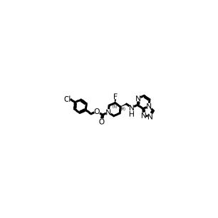 O=C(OCc1ccc(Cl)cc1)N1CC[C@H](CNc2nccn3cnnc23)[C@H](F)C1